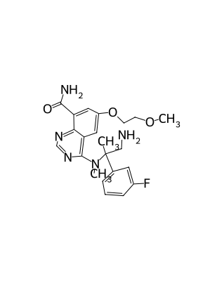 COCCOc1cc(C(N)=O)c2ncnc(N(C)C(C)(CN)c3cccc(F)c3)c2c1